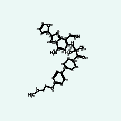 COCCOc1ccc(N2CCN(C(=O)C(C)(C)Nc3nc(N)n4nc(-c5ccco5)nc4c3C=N)CC2)cc1